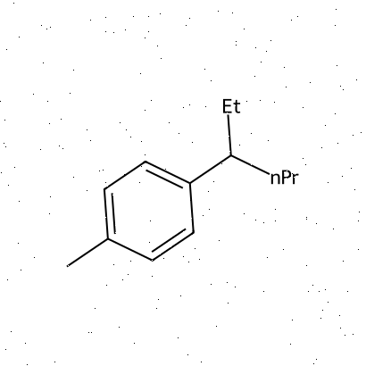 CCCC(CC)c1ccc(C)cc1